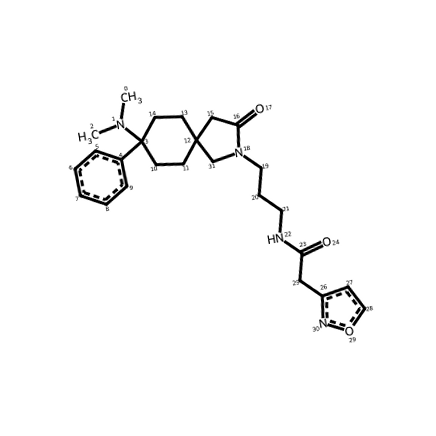 CN(C)C1(c2ccccc2)CCC2(CC1)CC(=O)N(CCCNC(=O)Cc1ccon1)C2